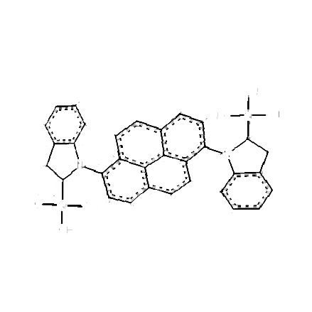 C[Si](C)(C)C1Cc2ccccc2N1c1ccc2ccc3c(N4c5ccccc5CC4[Si](C)(C)C)ccc4ccc1c2c43